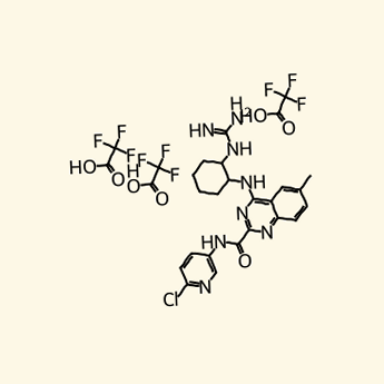 Cc1ccc2nc(C(=O)Nc3ccc(Cl)nc3)nc(NC3CCCCC3NC(=N)N)c2c1.O=C(O)C(F)(F)F.O=C(O)C(F)(F)F.O=C(O)C(F)(F)F